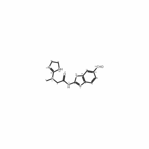 CN(CC(=O)Nc1nc2ccc(C=O)cc2s1)C1=NCCN1